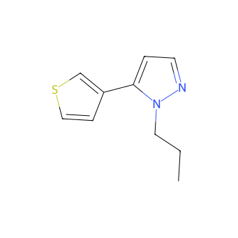 CCCn1nccc1-c1ccsc1